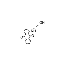 O=C1c2ccccc2C(=O)c2c(NCCCCO)cccc21